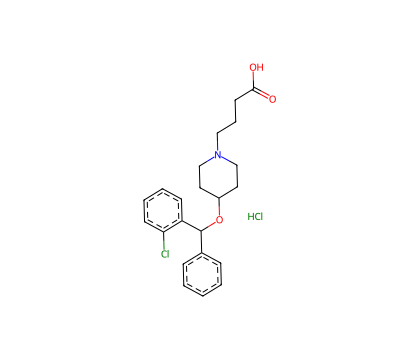 Cl.O=C(O)CCCN1CCC(OC(c2ccccc2)c2ccccc2Cl)CC1